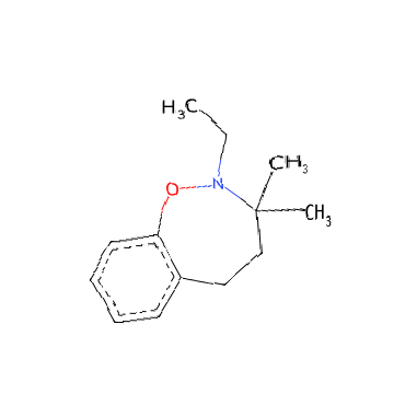 CCN1Oc2ccccc2CCC1(C)C